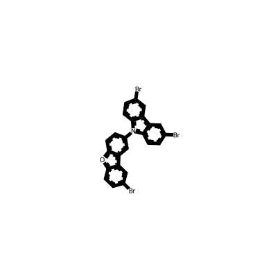 Brc1ccc2oc3ccc(-n4c5ccc(Br)cc5c5cc(Br)ccc54)cc3c2c1